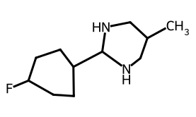 CC1CNC(C2CCC(F)CC2)NC1